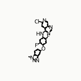 Cn1nnc2cc(Oc3cc(F)c(Nc4ncnc5cnc(Cl)cc45)cc3F)ccc21